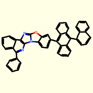 c1ccc(-c2nc3c(nc4oc5cc(-c6c7ccccc7c(-c7cccc8ccccc78)c7ccccc67)ccc5n43)c3ccccc23)cc1